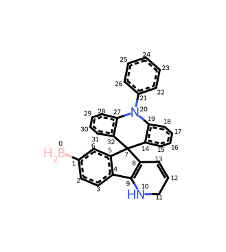 Bc1ccc2c(c1)C1(C3=C2NCC=C3)c2ccccc2N(c2ccccc2)c2ccccc21